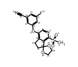 CS(=O)(=O)c1ncc(Oc2cc(F)cc(C#N)c2)c2c1C1(CC2)OCCO1